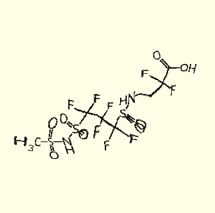 CS(=O)(=O)NS(=O)(=O)C(F)(F)C(F)(F)C(F)(F)S(=O)(=O)NCC(F)(F)C(=O)O